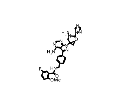 COc1ccc(F)cc1C(=O)NCc1ccc(-c2nn(C3(CN(C)C(=O)n4cncn4)CC3)c3ncnc(N)c23)cc1